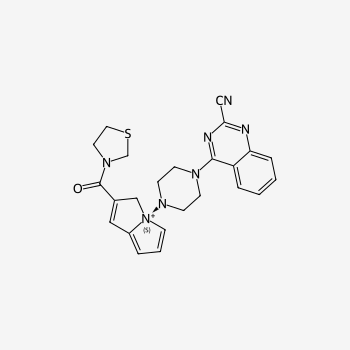 N#Cc1nc(N2CCN([N@@+]34C=CC=C3C=C(C(=O)N3CCSC3)C4)CC2)c2ccccc2n1